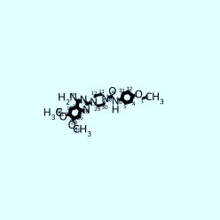 CCOc1ccc(NC(=O)N2CCN(c3nc(N)c4cc(OC)c(OC)cc4n3)CC2)cc1